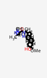 COC[C@@]1(O)CC[C@H]2[C@H](CC[C@@H]3[C@@H]2CC[C@]2(C)C([C@H](C)NC(=O)c4cc(C)nn4C)CC[C@@H]32)C1